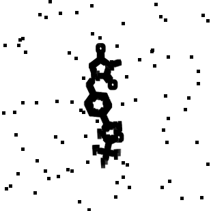 CN1C(=O)CN(Cc2ccc(-c3noc(C(F)(F)F)n3)cc2)C1=O